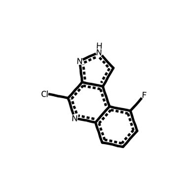 Fc1cccc2nc(Cl)c3n[nH]cc3c12